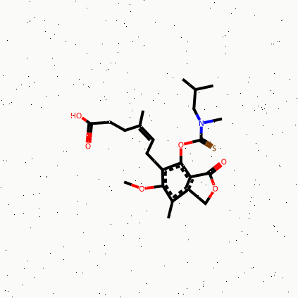 COc1c(C)c2c(c(OC(=S)N(C)CC(C)C)c1CC=C(C)CCC(=O)O)C(=O)OC2